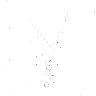 CCCCCCCCCCCCCCCC(=O)OCC(CSCCC(=O)Nc1ccc(C(=O)NC(Cc2ccccc2)C(=O)OC(C)(C)C)cc1)OC(=O)CCCCCCCCCCCCCCC